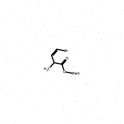 CCCC(C)OC(=O)C(C)/C=C\C(C)C